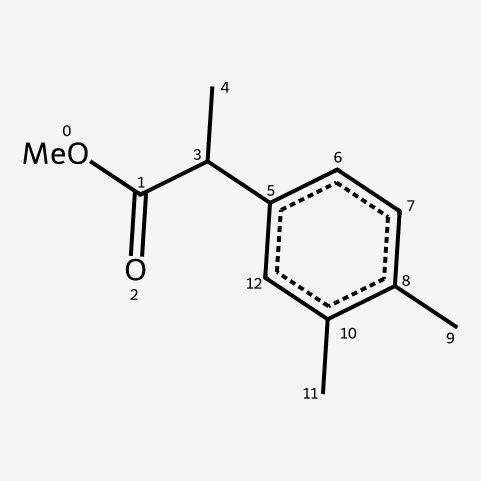 COC(=O)C(C)c1ccc(C)c(C)c1